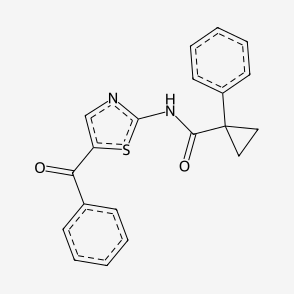 O=C(c1ccccc1)c1cnc(NC(=O)C2(c3ccccc3)CC2)s1